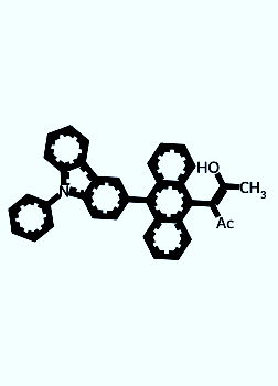 CC(=O)C(=C(C)O)c1c2ccccc2c(-c2ccc3c(c2)c2ccccc2n3-c2ccccc2)c2ccccc12